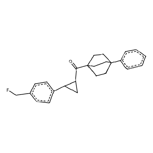 O=C(C1CC1c1ccc(CF)cc1)C12CCC(c3ccccc3)(CC1)CC2